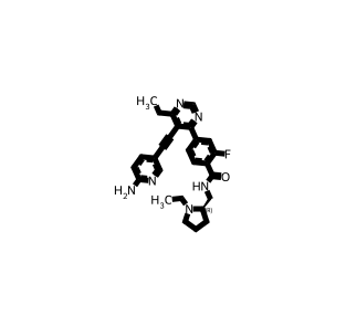 CCc1ncnc(-c2ccc(C(=O)NC[C@H]3CCCN3CC)c(F)c2)c1C#Cc1ccc(N)nc1